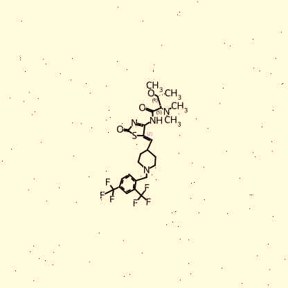 CO[C@H](C)[C@@H](C(=O)NC1=NC(=O)S/C1=C\C1CCN(Cc2ccc(C(F)(F)F)cc2C(F)(F)F)CC1)N(C)C